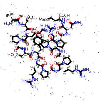 CSCC[C@H](NC(=O)[C@H](CC(N)=O)NC(=O)[C@@H]1CCCN1C(=O)[C@@H]1CCCN1C(=O)[C@H](CCCNC(=N)N)NC(=O)[C@@H]1CCCN1C(=O)[C@H](CCCNC(=N)N)NC(=O)[C@@H]1CCCN1C(=O)[C@H](CCCNC(=N)N)NC(=O)[C@H](Cc1ccc(O)cc1)NC(=O)[C@H](CC(=O)O)NC(=O)[C@@H]1CCCN1C(=O)[C@H](CCCCN)NC(=O)[C@H](CC(=O)O)NC(=O)[C@@H](N)C(C)C)C(=O)O